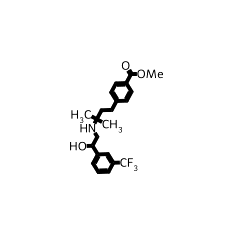 COC(=O)c1ccc(CCC(C)(C)NCC(O)c2cccc(C(F)(F)F)c2)cc1